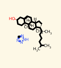 CC(C)CCC[C@@H](C)[C@H]1CC[C@H]2[C@@H]3CC=C4C[C@@H](O)CC[C@]4(C)[C@H]3CC[C@]12C.c1nn[nH]n1